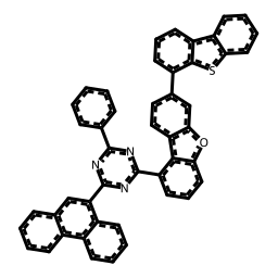 c1ccc(-c2nc(-c3cc4ccccc4c4ccccc34)nc(-c3cccc4oc5cc(-c6cccc7c6sc6ccccc67)ccc5c34)n2)cc1